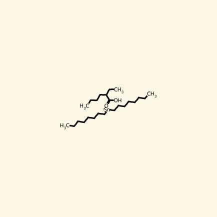 CCCCC(CC)C(=O)O.CCCCCCC[CH2][Sn][CH2]CCCCCCC